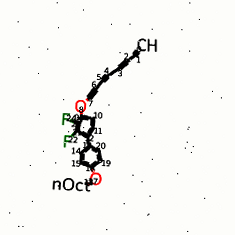 C#CC#CC#CC#COc1ccc(-c2ccc(OCCCCCCCC)cc2)c(F)c1F